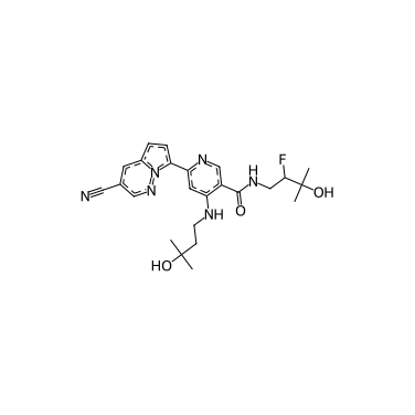 CC(C)(O)CCNc1cc(-c2ccc3cc(C#N)cnn23)ncc1C(=O)NCC(F)C(C)(C)O